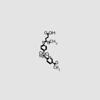 COC(CCC(=O)O)=Nc1ccc(S(=O)(=O)Nc2ccc(C(C)=O)cn2)cc1